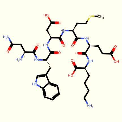 CSCC[C@H](NC(=O)[C@H](CC(=O)O)NC(=O)[C@H](Cc1c[nH]c2ccccc12)NC(=O)[C@@H](N)CC(N)=O)C(=O)N[C@@H](CCC(=O)O)C(=O)N[C@@H](CCCCN)C(=O)O